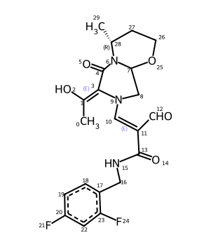 C/C(O)=C1/C(=O)N2C(CN1/C=C(\C=O)C(=O)NCc1ccc(F)cc1F)OCC[C@H]2C